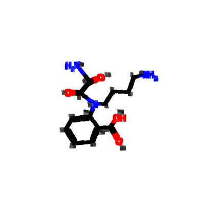 NCCCCN(C(=O)C(N)=O)c1ccccc1C(=O)O